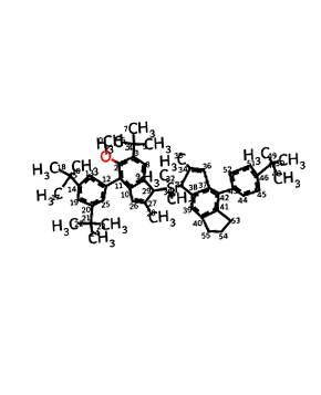 COc1c(C(C)(C)C)cc2c(c1-c1cc(C(C)(C)C)cc(C(C)(C)C)c1)C=C(C)C2[Si](C)(C)C1C(C)=Cc2c1cc1c(c2-c2ccc(C(C)(C)C)cc2)CCC1